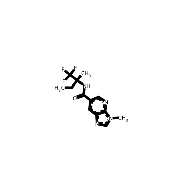 CCC(C)(NC(=O)c1cnc2c(c1)ncn2C)C(F)(F)F